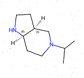 CC(C)N1CC[C@H]2NCC[C@H]2C1